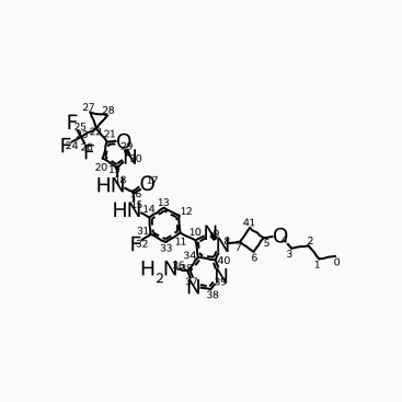 CCCCOC1CC(n2nc(-c3ccc(NC(=O)Nc4cc(C5(C(F)(F)F)CC5)on4)c(F)c3)c3c(N)ncnc32)C1